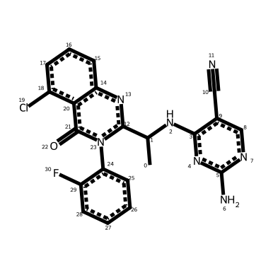 CC(Nc1nc(N)ncc1C#N)c1nc2cccc(Cl)c2c(=O)n1-c1ccccc1F